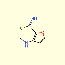 CNc1ccoc1C(=N)Cl